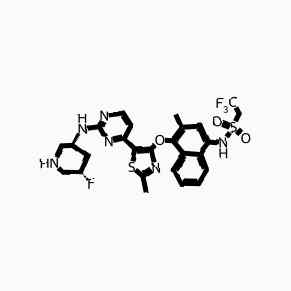 Cc1nc(Oc2c(C)cc(NS(=O)(=O)CC(F)(F)F)c3ccccc23)c(-c2ccnc(N[C@@H]3CNC[C@@H](F)C3)n2)s1